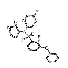 O=S(=O)(c1cccc(Oc2ccccc2)c1F)N(c1ccc(F)cn1)c1ccn[nH]1